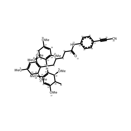 COC1=CC(OC)=C([PH](CCCCC(=O)Nc2ccc(C#CC#N)cc2)(C2=C(OC)C=C(OC)C[C@@H]2OC)C2=C(OC)C=C(OC)C(C)[C@@H]2OC)[C@@H](OC)C1